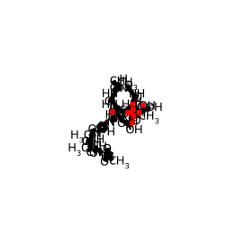 CC[C@H](C)[C@@H]1NC(=O)CNC(=O)[C@@H]2Cc3c([nH]c4ccccc34)S(=O)(=O)C[C@H](NC(=O)CNC1=O)C(=O)N[C@@H](CC(=O)NCc1ccc(NC(=O)[C@H](C)NC(=O)[C@@H](NC(=O)CCN3C(=O)CC(C)C3=O)C(C)C)cc1)C(=O)N1C[C@H](O)C[C@H]1C(=O)N[C@@H]([C@@H](C)[C@@H](O)CO)C(=O)N2